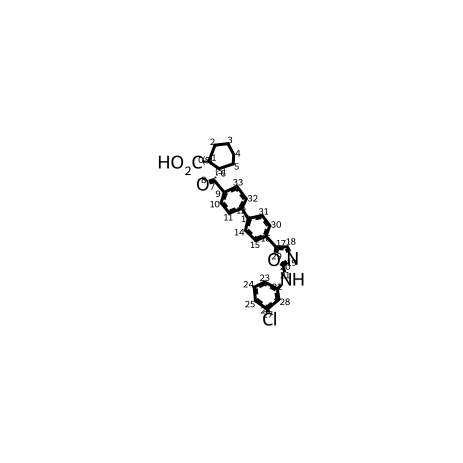 O=C(O)[C@H]1CCCC[C@@H]1C(=O)c1ccc(-c2ccc(-c3cnc(Nc4cccc(Cl)c4)o3)cc2)cc1